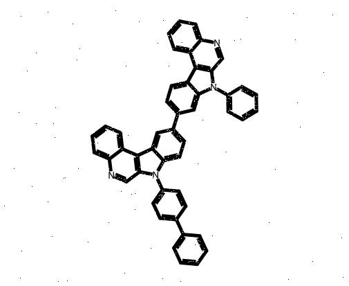 c1ccc(-c2ccc(-n3c4ccc(-c5ccc6c7c8ccccc8ncc7n(-c7ccccc7)c6c5)cc4c4c5ccccc5ncc43)cc2)cc1